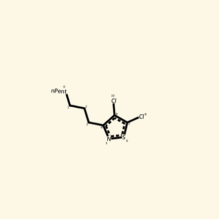 CCCCCCCCc1nsc(Cl)c1Cl